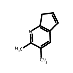 Cc1cc2c(nc1C)CC=C2